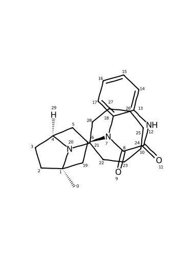 C[C@@]12CC[C@@H](C[C@@H](n3c(=O)c(=O)[nH]c4ccccc43)C1)N2C1CCCCCCC1